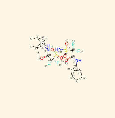 CC1(C)C2CCC1(C)C(NC(=O)C(F)(F)S(=O)(=O)NS(=O)(=O)C(F)(F)C(=O)NC1CC3CCC1C3)C2